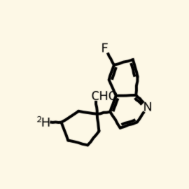 [2H]C1CCCC(C=O)(c2ccnc3ccc(F)cc23)C1